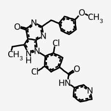 CCc1[nH]n(-c2c(Cl)cc(C(=O)Nc3cccnc3)cc2Cl)c2nc(Cc3cccc(OC)c3)nc(=O)c1-2